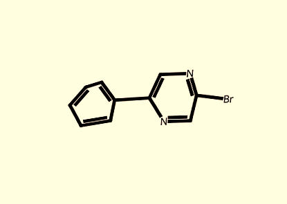 Brc1cnc(-c2ccccc2)cn1